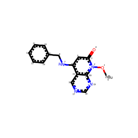 CCCCOn1c(=O)cc(NCc2ccccc2)c2cncnc21